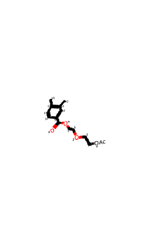 CC(=O)OCCOCCOC(=O)c1ccc(C)c(C)c1